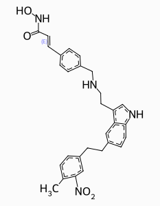 Cc1ccc(CCc2ccc3[nH]cc(CCNCc4ccc(/C=C/C(=O)NO)cc4)c3c2)cc1[N+](=O)[O-]